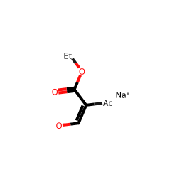 CCOC(=O)/C(=C\[O-])C(C)=O.[Na+]